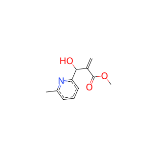 C=C(C(=O)OC)C(O)c1cccc(C)n1